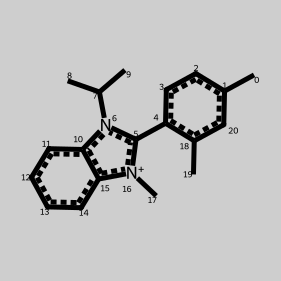 Cc1ccc(-c2n(C(C)C)c3ccccc3[n+]2C)c(C)c1